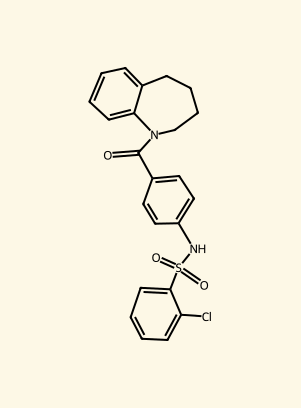 O=C(c1ccc(NS(=O)(=O)c2ccccc2Cl)cc1)N1CCCCc2ccccc21